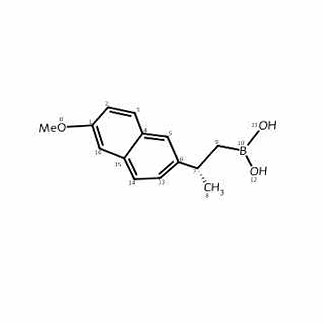 COc1ccc2cc([C@@H](C)CB(O)O)ccc2c1